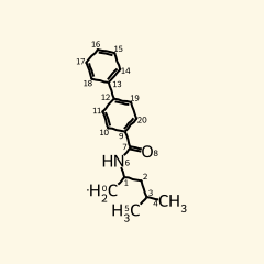 [CH2]C(CC(C)C)NC(=O)c1ccc(-c2ccccc2)cc1